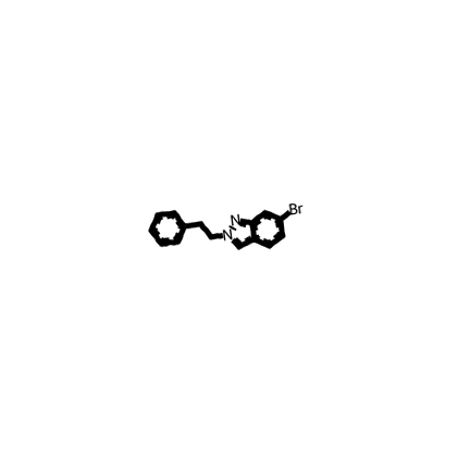 Brc1ccc2cn(CCc3ccccc3)nc2c1